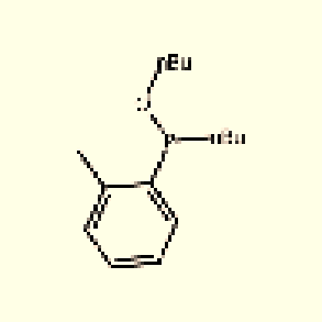 CCCCOP(CCCC)c1ccccc1C